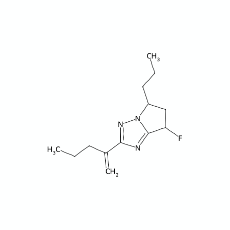 C=C(CCC)c1nc2n(n1)C(CCC)CC2F